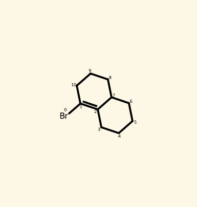 BrC1=C2CCCCC2CCC1